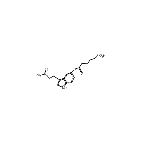 CCCN(CC)CCc1c[nH]c2ccc(OC(=O)CCCCC(=O)O)cc12